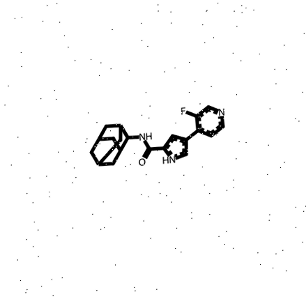 O=C(NC1C2CC3CC(C2)CC1C3)c1cc(-c2ccncc2F)c[nH]1